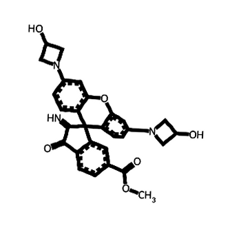 COC(=O)c1ccc2c(c1)C1(C(=N)C2=O)c2ccc(N3CC(O)C3)cc2Oc2cc(N3CC(O)C3)ccc21